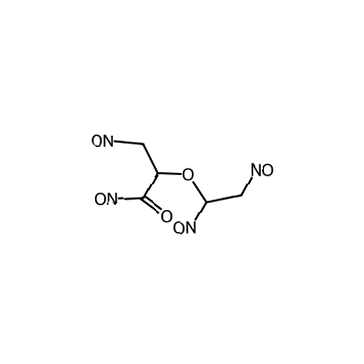 O=NCC(N=O)OC(CN=O)C(=O)N=O